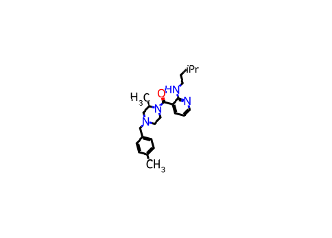 Cc1ccc(CN2CCN(C(=O)c3cccnc3NCCC(C)C)[C@H](C)C2)cc1